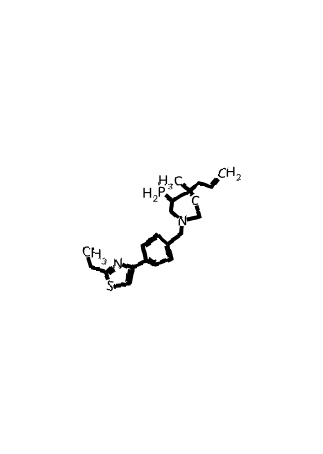 C=CCC1(C)CCN(Cc2ccc(-c3csc(CC)n3)cc2)CC1P